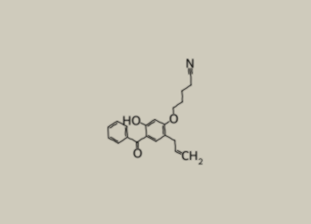 C=CCc1cc(C(=O)c2ccccc2)c(O)cc1OCCCCC#N